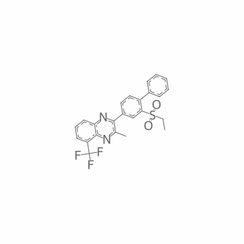 CCS(=O)(=O)c1cc(-c2nc3cccc(C(F)(F)F)c3nc2C)ccc1-c1ccccc1